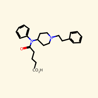 O=C(O)CCCC(=O)N(c1ccccc1)C1CCN(CCc2ccccc2)CC1